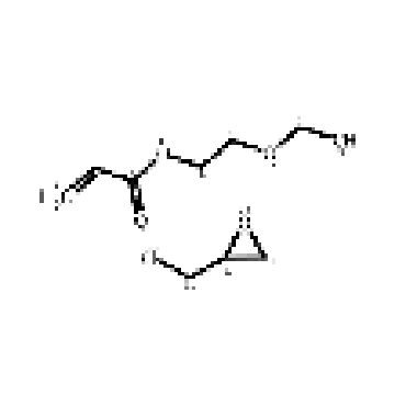 C=CC(=O)OCCOCC.ClCC1CO1